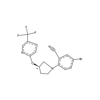 N#Cc1cc(Br)ccc1N1CC[C@@H](Oc2ccc(C(F)(F)F)cn2)C1